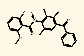 COc1cccc(Cl)c1C(=O)[PH](=O)c1c(C)cc(C(=O)c2ccccc2)c(C)c1C